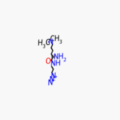 CN(C)CCCC[C@H](N)C(=O)NCCCN=[N+]=[N-]